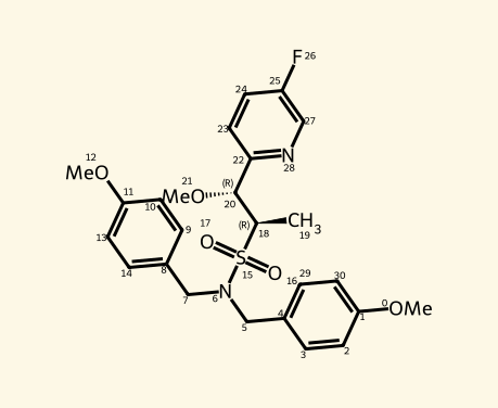 COc1ccc(CN(Cc2ccc(OC)cc2)S(=O)(=O)[C@H](C)[C@H](OC)c2ccc(F)cn2)cc1